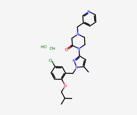 Cc1cc(N2CCN(Cc3cccnc3)CC2=O)nn1Cc1cc(Cl)ccc1OCC(C)C.Cl.Cl